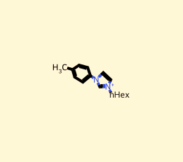 CCCCCC[n+]1ccn(-c2ccc(C)cc2)c1